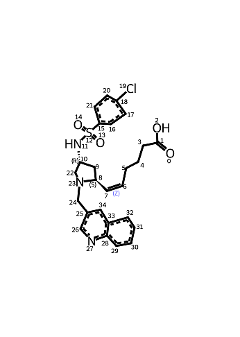 O=C(O)CCC/C=C\[C@@H]1C[C@@H](NS(=O)(=O)c2ccc(Cl)cc2)CN1Cc1cnc2ccccc2c1